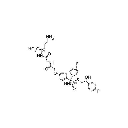 NCCC[C@@H](NC(=O)CNC(=O)COc1ccc([C@]2(c3ccc(F)cc3)NC(=O)[C@@H]2SCC(O)c2ccc(F)cc2)cc1)C(=O)O